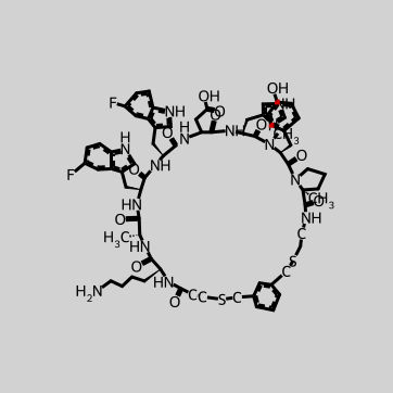 C[C@H]1NC(=O)[C@H](CCCCN)NC(=O)CCSCc2cccc(c2)CSCCNC(=O)[C@]2(C)CCCN2C(=O)[C@H](Cc2ccc(O)cc2)N(C)C(=O)[C@H](Cc2c[nH]cn2)NC(=O)C(CC(=O)O)NC(=O)[C@H](Cc2c[nH]c3ccc(F)cc23)NC(=O)[C@H](Cc2c[nH]c3ccc(F)cc23)NC1=O